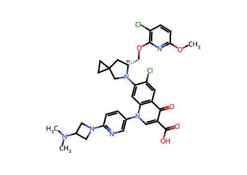 COc1ccc(Cl)c(OC[C@H]2CC3(CC3)CN2c2cc3c(cc2Cl)c(=O)c(C(=O)O)cn3-c2ccc(N3CC(N(C)C)C3)nc2)n1